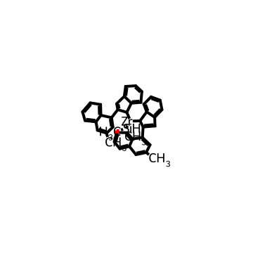 Cc1cc(C2=Cc3ccccc3[CH]2[Zr]([CH]2C(c3cc(C)cc4ccccc34)=Cc3ccccc32)[SiH](C)C)c2ccccc2c1